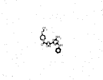 Nc1nc(Nc2ccccc2)nc(-c2noc(C(=O)N3CCC(SCC(F)(F)F)CC3)n2)n1